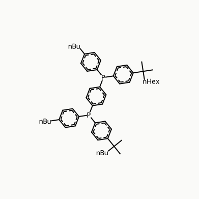 CCCCCCC(C)(C)c1ccc(P(c2ccc(CCCC)cc2)c2ccc(P(c3ccc(CCCC)cc3)c3ccc(C(C)(C)CCCC)cc3)cc2)cc1